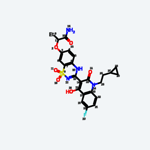 CCC(Oc1ccc2c(c1)S(=O)(=O)N=C(c1c(O)c3cc(F)ccc3n(CCC3CC3)c1=O)N2)C(N)=O